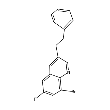 Fc1cc(Br)c2ncc(CCc3ccccc3)cc2c1